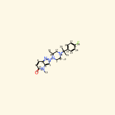 C[C@@H]1CN(n2cc3c(ccc(=O)n3C)n2)[C@@H](C)CN1C(C)(C)c1ccc(F)cc1